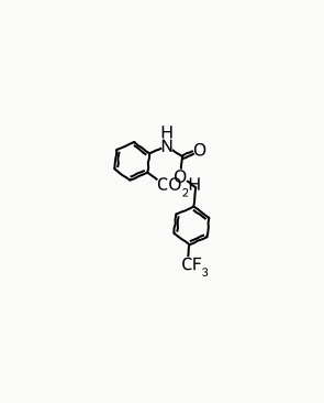 O=C(Nc1ccccc1C(=O)O)OCc1ccc(C(F)(F)F)cc1